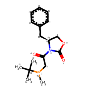 C[P@](CC(=O)N1C(=O)OC[C@@H]1Cc1ccccc1)C(C)(C)C